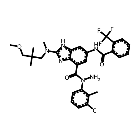 COCC(C)(C)CN(C)c1nc2c(C(=O)N(N)c3cccc(Cl)c3C)cc(NC(=O)c3ccccc3C(F)(F)F)cc2[nH]1